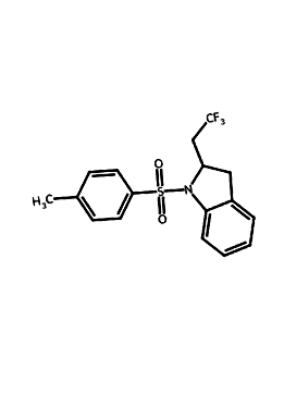 Cc1ccc(S(=O)(=O)N2c3ccccc3CC2CC(F)(F)F)cc1